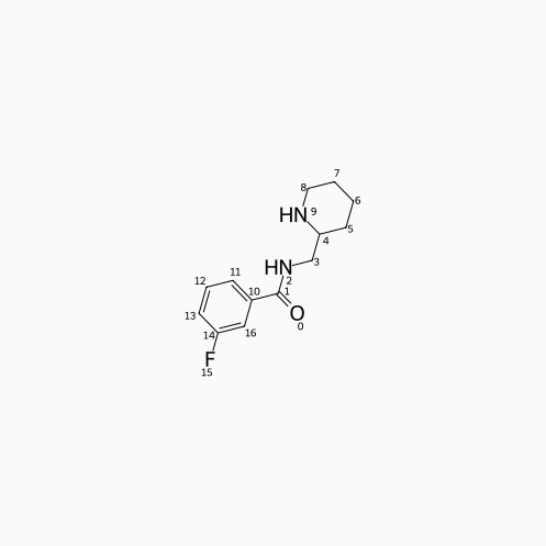 O=C(NCC1CCCCN1)c1cccc(F)c1